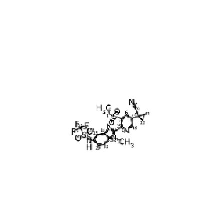 CCS(=O)(=O)c1cc(C2(C#N)CC2)cnc1-c1nc2cc(NS(=O)(=O)C(F)(F)F)ccc2n1C